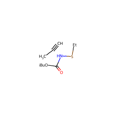 C#CC.CCSNC(=O)OCC(C)C